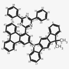 CC1(C)c2ccccc2-c2cc3c(cc21)c1ccccc1n3-c1cc(-c2nc(-c3ccccc3)nc(-c3ccccc3)n2)c2c3ccccc3c3ccccc3c2c1